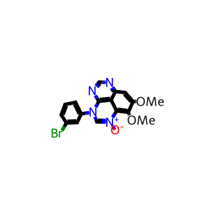 COc1cc2ncnc3c2c(c1OC)[N+]([O-])=CN3c1cccc(Br)c1